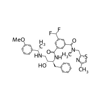 COc1cccc([C@H](C)NC[C@@H](O)[C@H](Cc2ccccc2)NC(=O)c2cc(C(=O)N(C)Cc3nc(C)cs3)cc(C(F)F)c2)c1